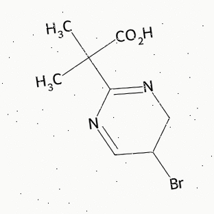 CC(C)(C(=O)O)C1=NCC(Br)C=N1